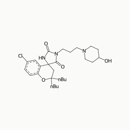 CCCCC1(CCCC)CC2(NC(=O)N(CCCN3CCC(O)CC3)C2=O)c2cc(Cl)ccc2O1